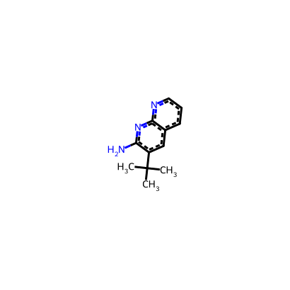 CC(C)(C)c1cc2cccnc2nc1N